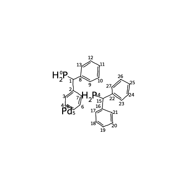 PC(c1ccccc1)c1ccccc1.PC(c1ccccc1)c1ccccc1.[Pd]